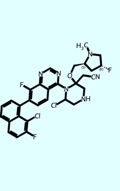 CN1C[C@H](F)C[C@H]1COC1(CC#N)CNCC(Cl)N1c1ncnc2c(F)c(-c3cccc4ccc(F)c(Cl)c34)ccc12